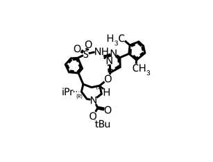 Cc1cccc(C)c1-c1cc2nc(n1)NS(=O)(=O)c1cccc(c1)C1C[C@@H](CN(C(=O)OC(C)(C)C)C[C@@H]1C(C)C)O2